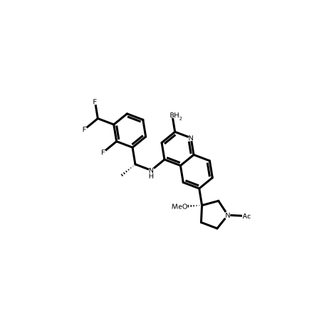 Bc1cc(N[C@H](C)c2cccc(C(F)F)c2F)c2cc([C@]3(OC)CCN(C(C)=O)C3)ccc2n1